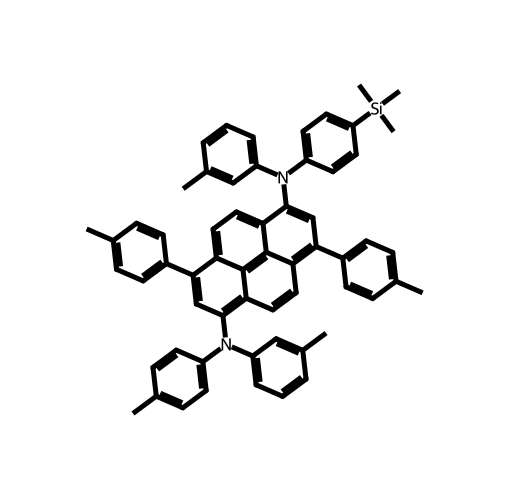 Cc1ccc(-c2cc(N(c3ccc(C)cc3)c3cccc(C)c3)c3ccc4c(-c5ccc(C)cc5)cc(N(c5ccc([Si](C)(C)C)cc5)c5cccc(C)c5)c5ccc2c3c45)cc1